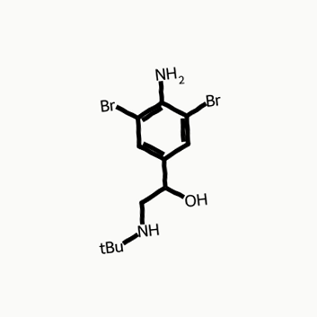 CC(C)(C)NCC(O)c1cc(Br)c(N)c(Br)c1